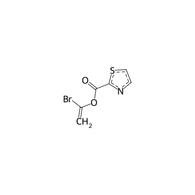 C=C(Br)OC(=O)c1nccs1